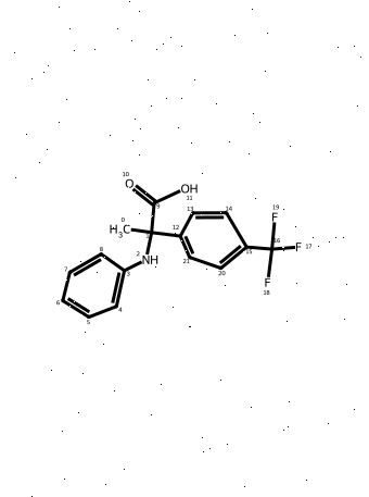 CC(Nc1ccccc1)(C(=O)O)c1ccc(C(F)(F)F)cc1